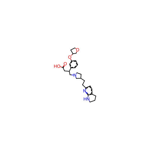 O=C(O)CC(CN1CCC(CCc2ccc3c(n2)NCCC3)C1)c1cccc(OC2CCOC2)c1